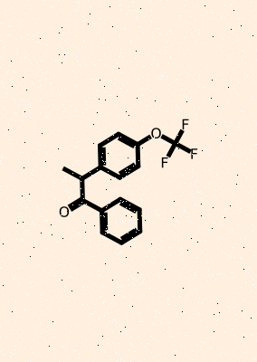 CC(C(=O)c1ccccc1)c1ccc(OC(F)(F)F)cc1